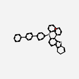 C1=Cc2sc3c(-c4ccccc4)c(N(c4ccccc4)c4ccc(-c5ccc(-c6ccccc6)cc5)cc4)ccc3c2CC1